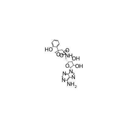 Nc1ncnc2c1ncn2[C@@H]1O[C@H](CNS(=O)(=O)CC2(c3ccccc3O)CO2)[C@H](O)C1O